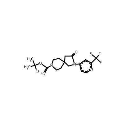 CC(C)(C)OC(=O)N1CCC2(CC1)CC(=O)N(c1ccnc(C(F)(F)F)c1)C2